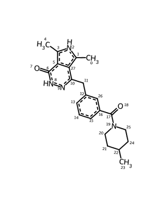 Cc1[nH]c(C)c2c(=O)[nH]nc(Cc3cccc(C(=O)N4CCC(C)CC4)c3)c12